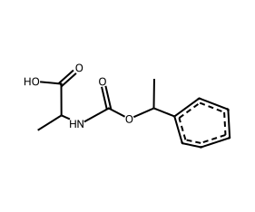 CC(NC(=O)OC(C)c1ccccc1)C(=O)O